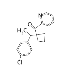 CC(c1ccc(Cl)cc1)C1(C(=O)c2ccccn2)CCC1